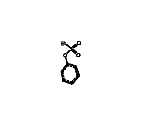 CCS(=O)(=O)Oc1ccccc1